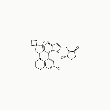 CN1CC(N2CCCc3cc(Cl)cc(-c4ccnc5cc(CN6C(=O)CCC6=O)sc45)c32)CC12CCC2